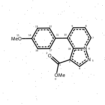 COC(=O)c1cnn2cccc(-c3ccc(OC)cc3)c12